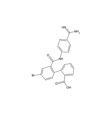 N=C(N)c1ccc(NC(=O)c2cc(Br)ccc2-c2ccccc2C(=O)O)cc1